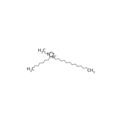 CCCCCCCCCCCCC[n+]1ccn(CC)c1CCCCCCC